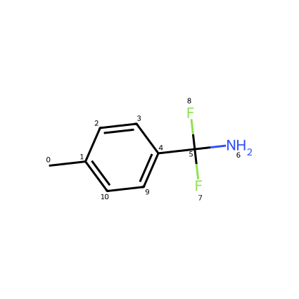 Cc1ccc(C(N)(F)F)cc1